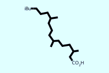 CCC(C)CCCC(C)CCCC(C)CCCC(C)CC(=O)O